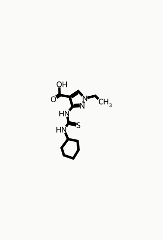 CCn1cc(C(=O)O)c(NC(=S)NC2CCCCC2)n1